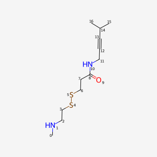 CNCCSSCCC(=O)NCC#CC(C)C